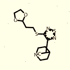 C1COC(CCSc2nsnc2C2CN3CCC2CC3)O1